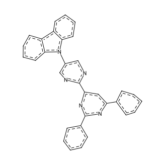 c1ccc(-c2cc(-c3ncc(-n4c5ccccc5c5ccccc54)cn3)nc(-c3ccccc3)n2)cc1